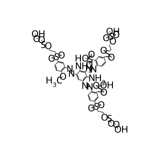 COc1ccc(S(=O)(=O)CCOSOOO)cc1/N=N/c1cc(/N=N/c2ccc(S(=O)(=O)CCOSOOO)cc2S(=O)(=O)O)c(N)c(/N=N/c2ccc(S(=O)(=O)CCOS(=O)(=O)O)cc2S(=O)(=O)O)c1N